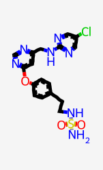 NS(=O)(=O)NCCc1ccc(Oc2cc(CNc3ncc(Cl)cn3)ncn2)cc1